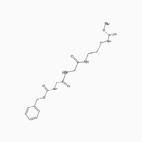 CC(C)(C)OC(=O)NOCCNC(=O)CNC(=O)CNC(=O)OCc1ccccc1